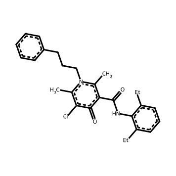 CCc1cccc(CC)c1NC(=O)c1c(C)n(CCCc2ccccc2)c(C)c(Cl)c1=O